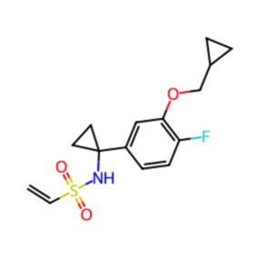 C=CS(=O)(=O)NC1(c2ccc(F)c(OCC3CC3)c2)CC1